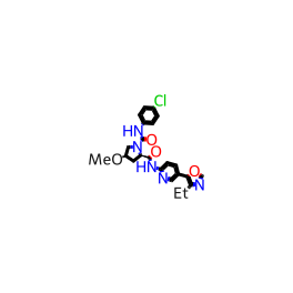 CCc1ncoc1-c1ccc(NC(=O)[C@H]2C[C@@H](OC)CN2C(=O)Nc2ccc(Cl)cc2)nc1